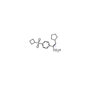 O=C(O)/C(=C/C1CCCC1)c1ccc(S(=O)(=O)C2CCC2)cc1